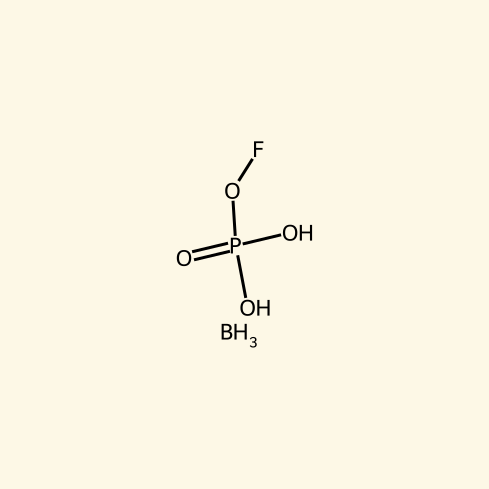 B.O=P(O)(O)OF